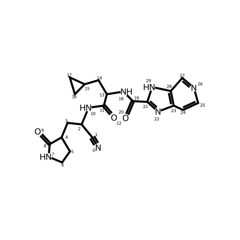 N#CC(CC1CCNC1=O)NC(=O)C(CC1CC1)NC(=O)c1nc2ccncc2[nH]1